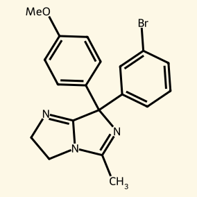 COc1ccc(C2(c3cccc(Br)c3)N=C(C)N3CCN=C32)cc1